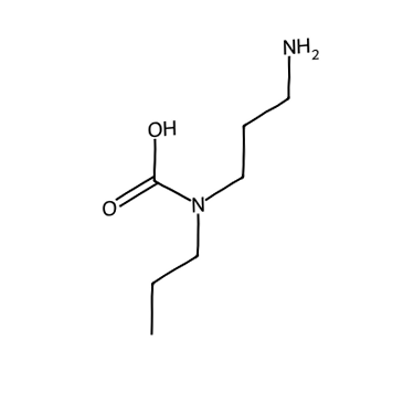 CCCN(CCCN)C(=O)O